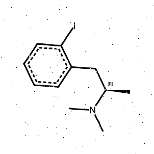 C[C@H](Cc1ccccc1I)N(C)C